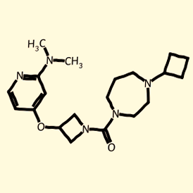 CN(C)c1cc(OC2CN(C(=O)N3CCCN(C4CCC4)CC3)C2)ccn1